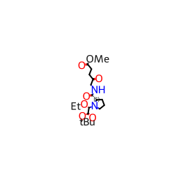 CCOC(C(=O)OC(C)(C)C)N1CCC[C@H]1C(=O)NCC(=O)CCC(=O)OC